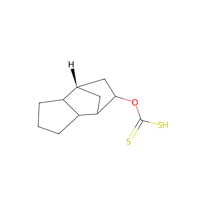 S=C(S)OC1C[C@@H]2CC1C1CCCC12